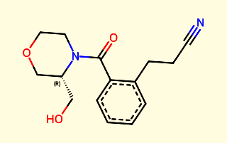 N#CCCc1ccccc1C(=O)N1CCOC[C@H]1CO